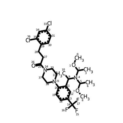 COC(C)N(C(C)OC)C(C)c1cc(C(F)(F)F)ccc1N1CCN(C(=O)CCc2ccc(Cl)cc2Cl)CC1